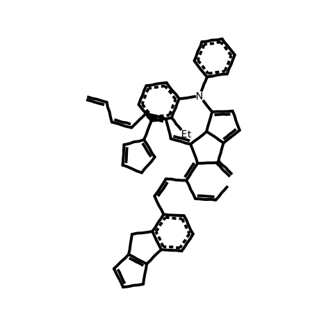 C=C/C=C\C=C/C=C1/C(=C(/C=C\C)\C=C/c2cccc3c2CC2=C3CC=C2)C(=C)C2=CC=C(N(c3ccccc3)c3cccc(C4=CCC=C4)c3CC)C21